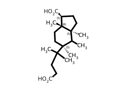 CC1[C@@](C)(C(C)(C)CCC(=O)O)CC[C@]2(C)[C@@H](C(=O)O)CC[C@@]12C